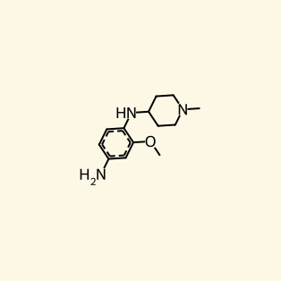 COc1cc(N)ccc1NC1CCN(C)CC1